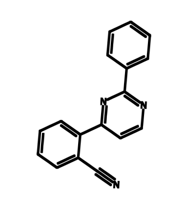 N#Cc1ccccc1-c1ccnc(-c2ccccc2)n1